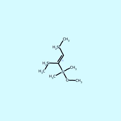 CO[Si](C)(C)/C(=C/[SiH2]C)[SiH2]C